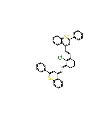 ClC1=C(C=Cc2cc(-c3ccccc3)[s+]c3ccccc23)CCCC1=C/C=C1\C=C(c2ccccc2)Sc2ccccc21